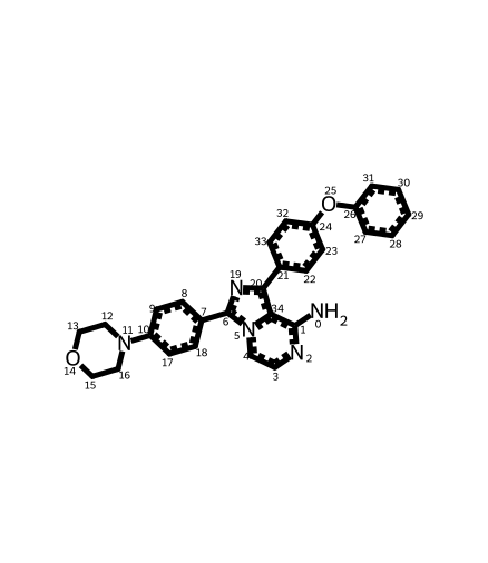 Nc1nccn2c(-c3ccc(N4CCOCC4)cc3)nc(-c3ccc(Oc4ccccc4)cc3)c12